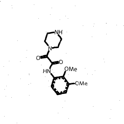 COc1cccc(NC(=O)C(=O)N2CCNCC2)c1OC